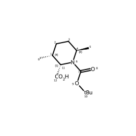 C[C@@H]1CC[C@@H](C)N(C(=O)OC(C)(C)C)[C@@H]1C(=O)O